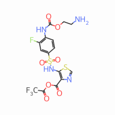 NCCOC(=O)Nc1ccc(S(=O)(=O)Nc2scnc2C(=O)OC(=O)C(F)(F)F)cc1F